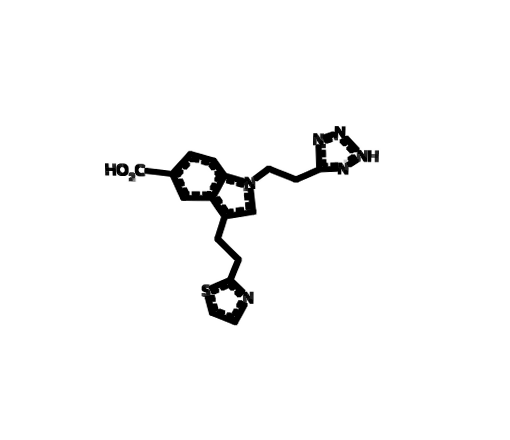 O=C(O)c1ccc2c(c1)c(CCc1nccs1)cn2CCc1nn[nH]n1